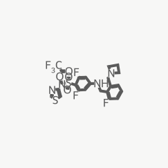 O=C(ON(c1cscn1)S(=O)(=O)c1c(F)cc(NCc2c(F)cccc2CN2CCC2)cc1F)C(F)(F)F